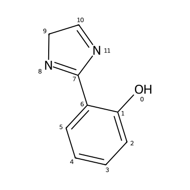 Oc1ccccc1C1=NCC=N1